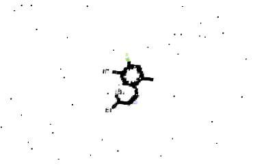 CCC(/C=C\c1cc(C(C)(C)C)c(F)cc1C)C(C)(C)C